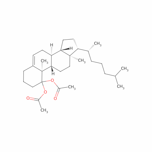 CC(=O)OC1(OC(C)=O)CCCC2=CC[C@H]3[C@@H]4CC[C@H]([C@H](C)CCCC(C)C)[C@@]4(C)CC[C@@H]3[C@]21C